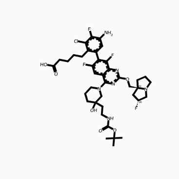 CC(C)(C)OC(=O)NCCC1(O)CCCN(c2nc(OC[C@@]34CCCN3C[C@H](F)C4)nc3c(F)c(-c4cc(N)c(F)c(Cl)c4CCCCC(=O)O)c(F)cc23)C1